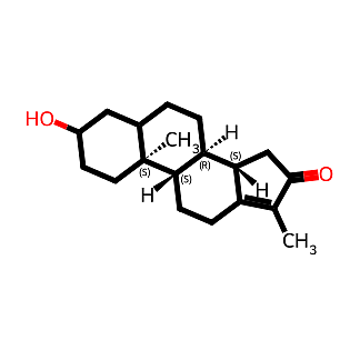 CC1=C2CC[C@H]3[C@@H](CCC4CC(O)CC[C@@]43C)[C@@H]2CC1=O